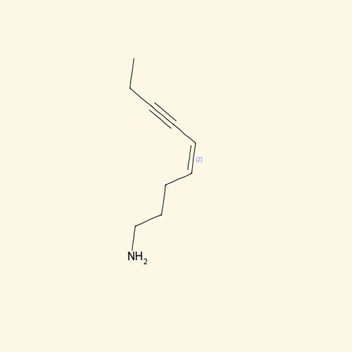 CCC#C/C=C\CCCN